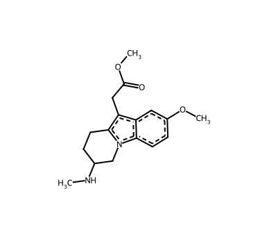 CNC1CCc2c(CC(=O)OC)c3cc(OC)ccc3n2C1